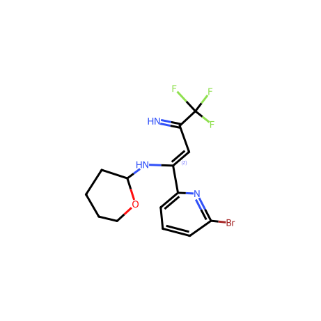 N=C(/C=C(\NC1CCCCO1)c1cccc(Br)n1)C(F)(F)F